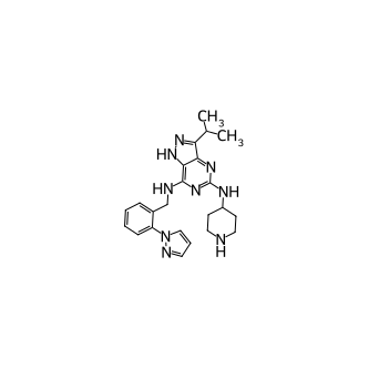 CC(C)c1n[nH]c2c(NCc3ccccc3-n3cccn3)nc(NC3CCNCC3)nc12